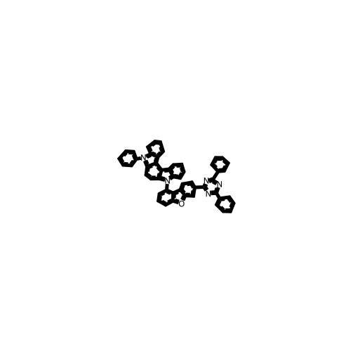 c1ccc(-c2nc(-c3ccccc3)nc(-c3ccc4c(c3)oc3cccc(-n5c6ccccc6c6c7c8ccccc8n(-c8ccccc8)c7ccc65)c34)n2)cc1